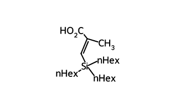 CCCCCC[Si](C=C(C)C(=O)O)(CCCCCC)CCCCCC